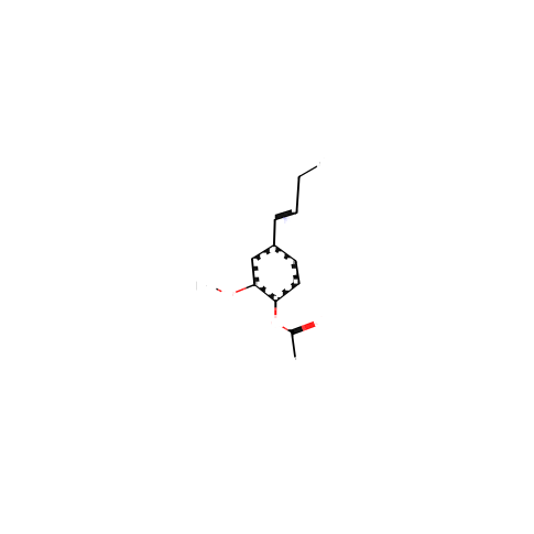 CC/C=C/c1ccc(OC(C)=O)c(OC)c1